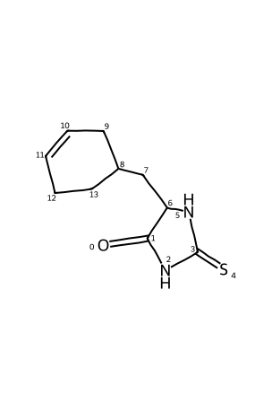 O=C1NC(=S)NC1CC1CC=CCC1